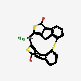 BrC1S[C]2=C3C=c4c(cccc4=C31)Sc1cccc3c1=C1C(=[C](SC1Br)[Zr+2]2)C=3.[Cl-].[Cl-]